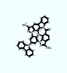 CC(C)(C)c1nn2c3c4c(ccc13)C(=O)n1c3ccccc3c3cc5c(C(C)(C)C)nn6c5c(c31)B4c1c-2cc(-n2c3ccccc3c3ccccc32)cc1-6